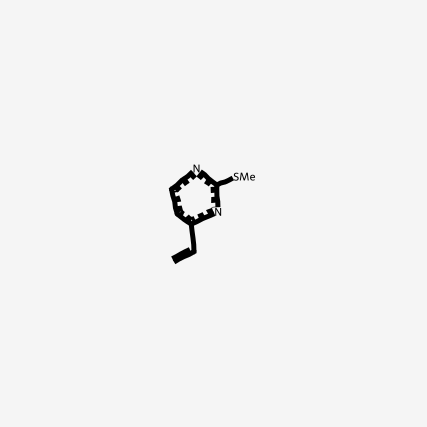 C=Cc1ccnc(SC)n1